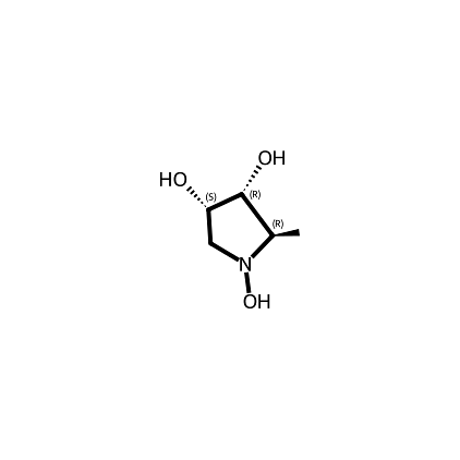 C[C@@H]1[C@@H](O)[C@@H](O)CN1O